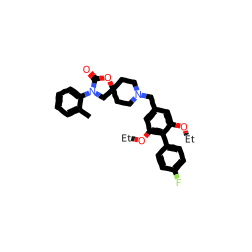 CCOc1cc(CN2CCC3(CC2)CN(c2ccccc2C)C(=O)O3)cc(OCC)c1-c1ccc(F)cc1